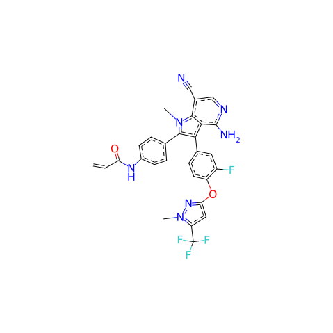 C=CC(=O)Nc1ccc(-c2c(-c3ccc(Oc4cc(C(F)(F)F)n(C)n4)c(F)c3)c3c(N)ncc(C#N)c3n2C)cc1